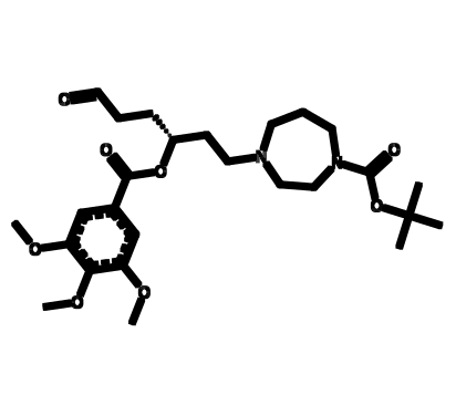 COc1cc(C(=O)O[C@H](CCC=O)CCN2CCCN(C(=O)OC(C)(C)C)CC2)cc(OC)c1OC